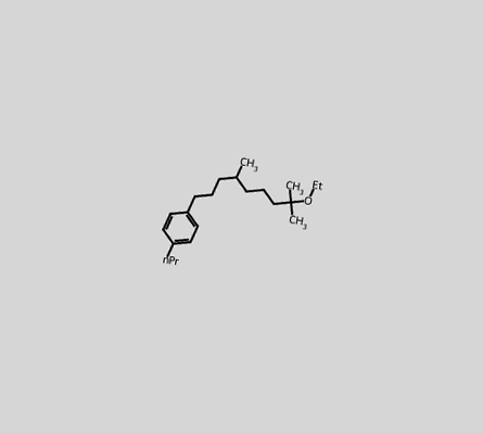 CCCc1ccc(CCCC(C)CCCC(C)(C)OCC)cc1